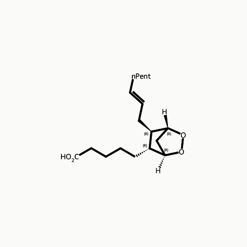 CCCCCC=CC[C@@H]1[C@@H](CCCCC(=O)O)[C@H]2C[C@H]1OO2